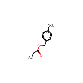 CC(=O)CC(=O)OCc1ccc([N+](=O)[O-])cc1